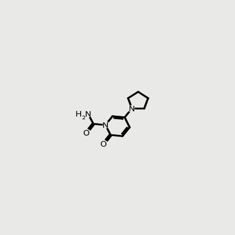 NC(=O)n1cc(N2CCCC2)ccc1=O